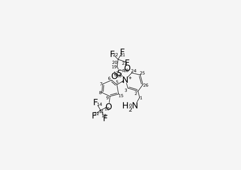 NCC1=C[N+](c2cccc(OC(F)(F)F)c2)(S(=O)(=O)CC(F)(F)F)CC=C1